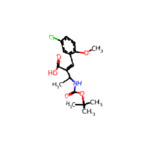 COc1ccc(Cl)cc1C=C(C(=O)O)C(C)NC(=O)OC(C)(C)C